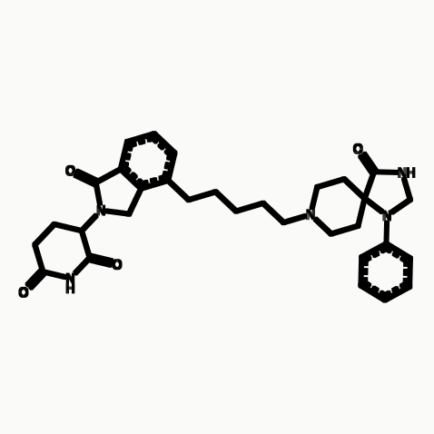 O=C1CCC(N2Cc3c(CCCCCN4CCC5(CC4)C(=O)NCN5c4ccccc4)cccc3C2=O)C(=O)N1